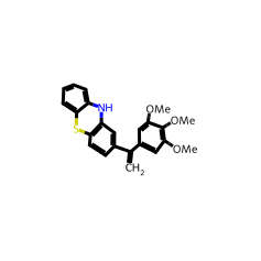 C=C(c1ccc2c(c1)Nc1ccccc1S2)c1cc(OC)c(OC)c(OC)c1